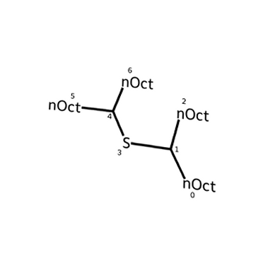 CCCCCCCCC(CCCCCCCC)SC(CCCCCCCC)CCCCCCCC